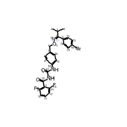 CC(C)/C(=N/OCc1ccc(NC(=O)NC(=O)c2c(F)cccc2F)cc1)c1ccc(Br)cc1